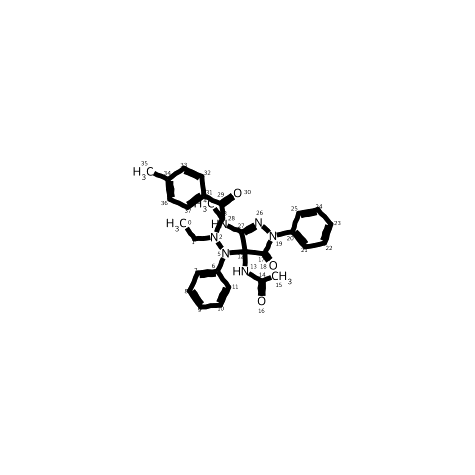 CCN(CC)N(c1ccccc1)C1(NC(C)=O)C(=O)N(c2ccccc2)N=C1NC(=O)c1ccc(C)cc1